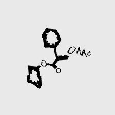 COC=C(C(=O)Oc1ccccc1)c1ccccc1